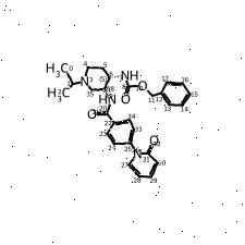 CC(C)N1CC[C@H](NC(=O)OCc2ccccc2)[C@H](NC(=O)c2ccc(-n3ccccc3=O)cc2)C1